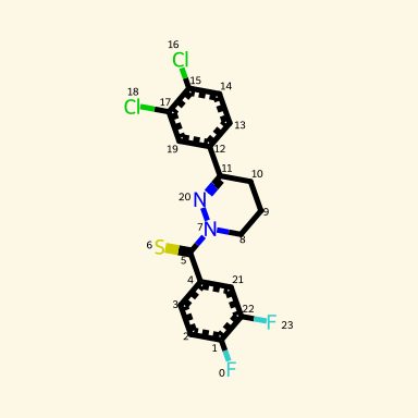 Fc1ccc(C(=S)N2CCCC(c3ccc(Cl)c(Cl)c3)=N2)cc1F